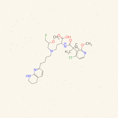 COc1nccc(Cl)c1C(C)(C)C(=O)NC(CCN(CCCCc1ccc2c(n1)NCCC2)CC(CF)OC)C(=O)O